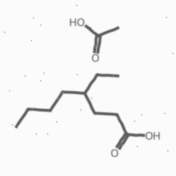 CC(=O)O.CCCCC(CC)CCC(=O)O